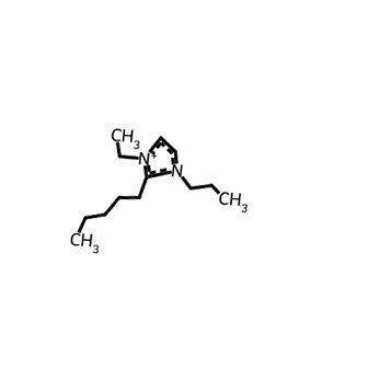 CCCCCc1n(CCC)cc[n+]1CC